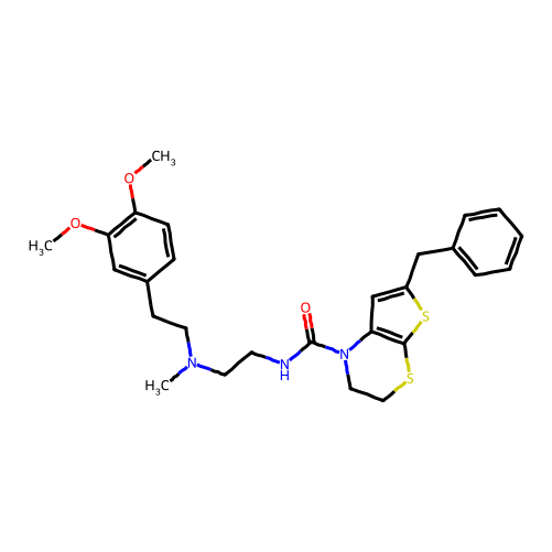 COc1ccc(CCN(C)CCNC(=O)N2CCSc3sc(Cc4ccccc4)cc32)cc1OC